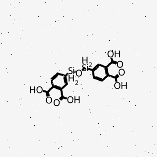 O=C(O)c1ccc([SiH2]O[SiH2]c2ccc(C(=O)O)c(C(=O)O)c2)cc1C(=O)O